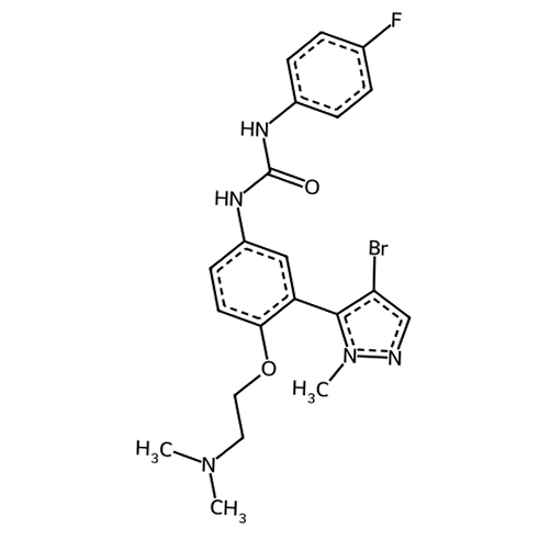 CN(C)CCOc1ccc(NC(=O)Nc2ccc(F)cc2)cc1-c1c(Br)cnn1C